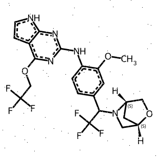 COc1cc(C(N2C[C@@H]3C[C@H]2CO3)C(F)(F)F)ccc1Nc1nc(OCC(F)(F)F)c2cc[nH]c2n1